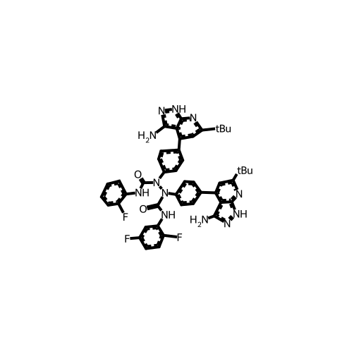 CC(C)(C)c1cc(-c2ccc(N(C(=O)Nc3ccccc3F)N(C(=O)Nc3cc(F)ccc3F)c3ccc(-c4cc(C(C)(C)C)nc5[nH]nc(N)c45)cc3)cc2)c2c(N)n[nH]c2n1